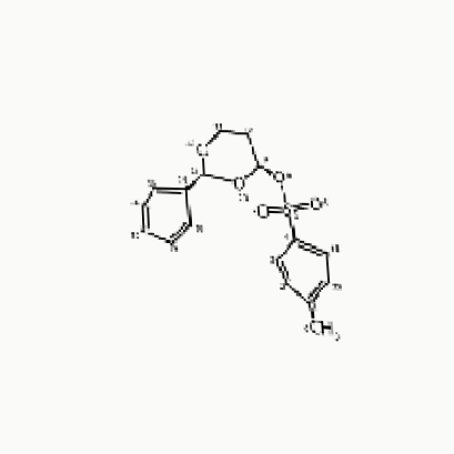 Cc1ccc(S(=O)(=O)O[C@@H]2CCO[C@H](c3ccccc3)O2)cc1